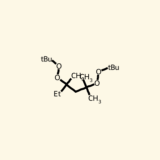 CCC(C)(CC(C)(C)OOC(C)(C)C)OOC(C)(C)C